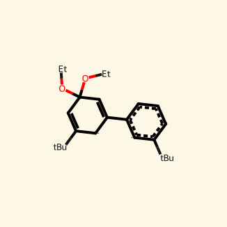 CCOC1(OCC)C=C(c2[c]c(C(C)(C)C)ccc2)[CH]C(C(C)(C)C)=C1